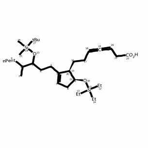 CCCCCC(C)C(CCC1=CC[C@H](O[Si](CC)(CC)CC)[C@@H]1CCC=C=CCC(=O)O)O[Si](C)(C)C(C)(C)C